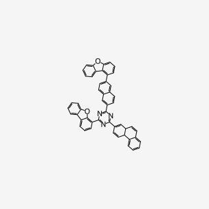 C1=CC2c3ccccc3C=CC2C=C1c1nc(-c2ccc3cc(-c4cccc5oc6ccccc6c45)ccc3c2)nc(-c2cccc3c2oc2ccccc23)n1